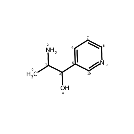 CC(N)C(O)c1cccnc1